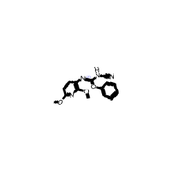 COc1ccc(/N=C(/NC#N)Oc2ccccc2)c(OC)n1